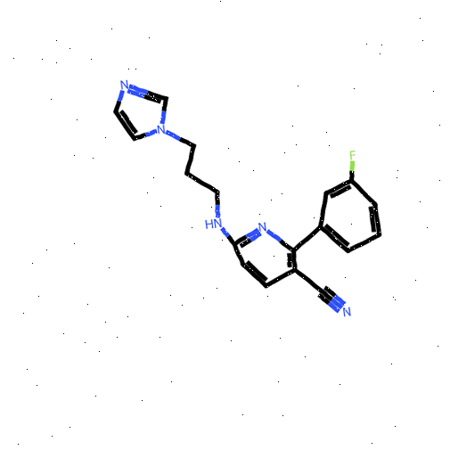 N#Cc1ccc(NCCCn2ccnc2)nc1-c1cccc(F)c1